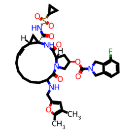 Cc1cc(CNC2CCCCC/C=C\[C@@H]3C[C@@]3(C(=O)NS(=O)(=O)C3CC3)NC(=O)[C@@H]3C[C@@H](OC(=O)N4Cc5cccc(F)c5C4)CN3C2=O)oc1C